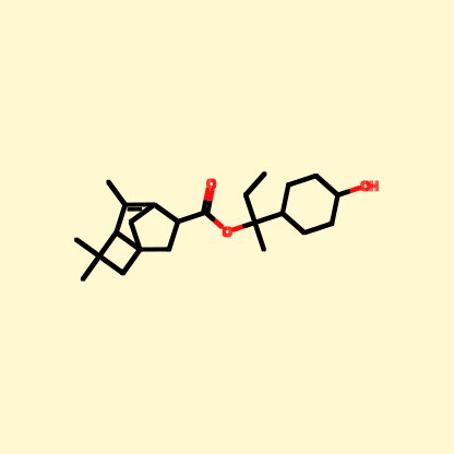 CCC(C)(OC(=O)C1CC23CC1=C(C)C2C(C)(C)C3)C1CCC(O)CC1